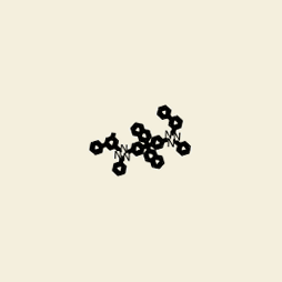 CC1C=C(c2nc(-c3ccccc3)nc(-c3ccc(C(c4ccc(-c5nc(-c6ccccc6)nc(-c6cccc(-c7ccccc7)c6)n5)cc4)(c4ccc5ccccc5c4)c4ccc5ccccc5c4)cc3)n2)C=C(c2ccccc2)C1